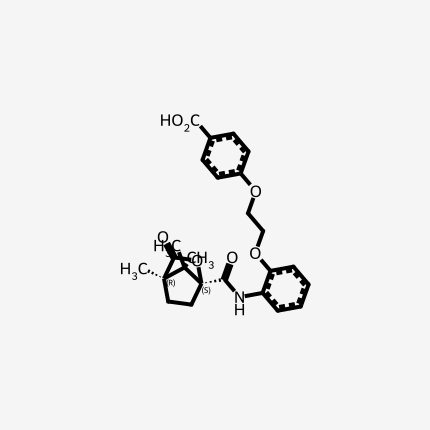 CC1(C)[C@@]2(C)CC[C@]1(C(=O)Nc1ccccc1OCCOc1ccc(C(=O)O)cc1)OC2=O